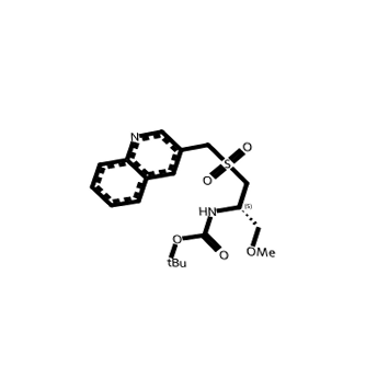 COC[C@@H](CS(=O)(=O)Cc1cnc2ccccc2c1)NC(=O)OC(C)(C)C